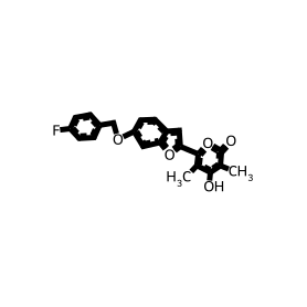 Cc1c(-c2cc3ccc(OCc4ccc(F)cc4)cc3o2)oc(=O)c(C)c1O